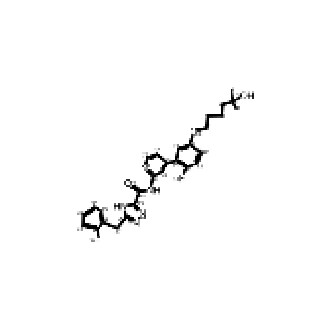 CC(C)(O)CCCCOc1ccc(F)c(-c2ccnc(NC(=O)c3nnc(Cc4ccccc4F)[nH]3)c2)c1